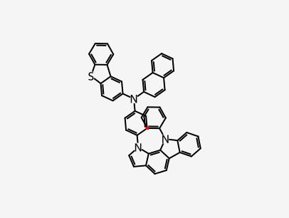 c1ccc(-n2c3ccccc3c3ccc4ccn(-c5ccc(N(c6ccc7ccccc7c6)c6ccc7sc8ccccc8c7c6)cc5)c4c32)cc1